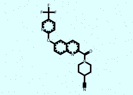 N#CC1CCN(C(=O)c2ccc3cc(Oc4ccc(C(F)(F)F)cn4)ccc3n2)CC1